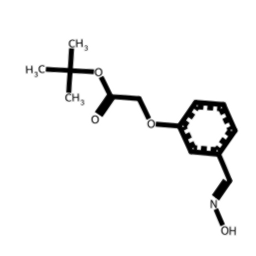 CC(C)(C)OC(=O)COc1cccc(C=NO)c1